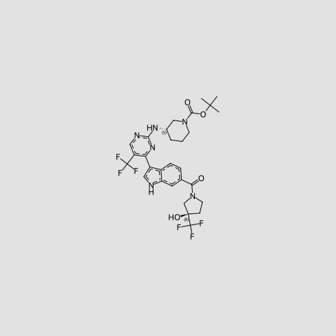 CC(C)(C)OC(=O)N1CCC[C@H](Nc2ncc(C(F)(F)F)c(-c3c[nH]c4cc(C(=O)N5CC[C@](O)(C(F)(F)F)C5)ccc34)n2)C1